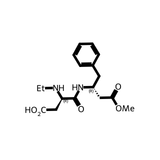 CCN[C@H](CC(=O)O)C(=O)N[C@@H](CC(=O)OC)Cc1ccccc1